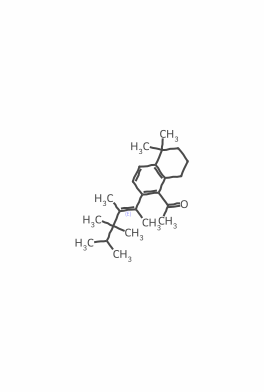 CC(=O)c1c(/C(C)=C(\C)C(C)(C)C(C)C)ccc2c1CCCC2(C)C